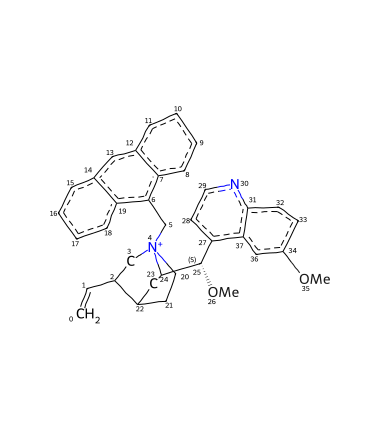 C=CC1C[N+]2(Cc3c4ccccc4cc4ccccc34)CCC1CC2[C@@H](OC)c1ccnc2ccc(OC)cc12